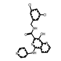 O=C(NCc1cc(Cl)cc(Cl)c1)c1nc(Nc2ccncc2)c2cccnc2c1O